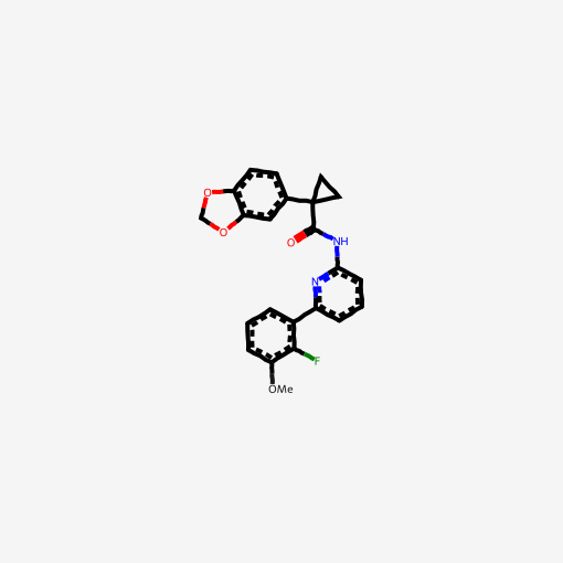 COc1cccc(-c2cccc(NC(=O)C3(c4ccc5c(c4)OCO5)CC3)n2)c1F